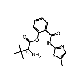 Cc1cnc(NC(=O)c2ccccc2OC(=O)[C@@H](N)C(C)(C)C)s1